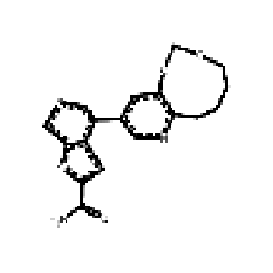 NC(=O)c1cc2c(-c3cnc4c(c3)CCCCCCC4)cncc2s1